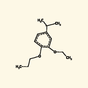 CCCOc1ccc([C](C)C)cc1OCC